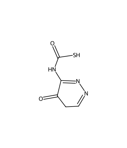 O=C(S)NC1=NN=CCC1=O